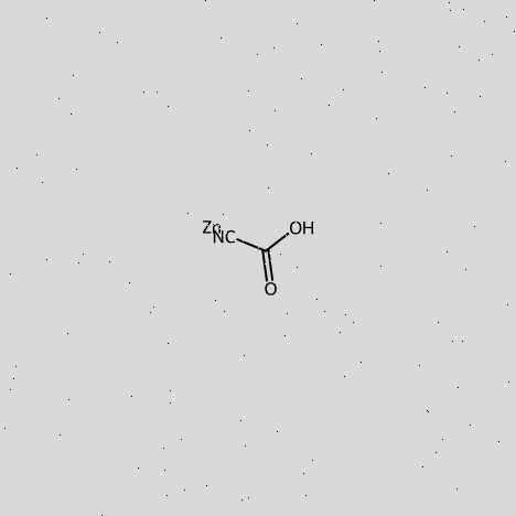 N#CC(=O)O.[Zn]